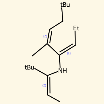 C/C=C(\NC(=C/CC)/C(C)=C\CC(C)(C)C)C(C)(C)C